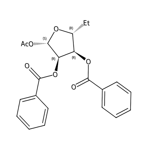 CC[C@H]1O[C@@H](OC(C)=O)[C@H](OC(=O)c2ccccc2)[C@@H]1OC(=O)c1ccccc1